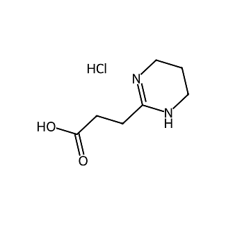 Cl.O=C(O)CCC1=NCCCN1